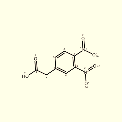 O=C(O)Cc1ccc([N+](=O)[O-])c([N+](=O)[O-])c1